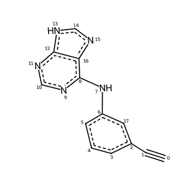 C#Cc1cccc(Nc2ncnc3[nH]cnc23)c1